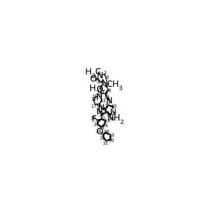 CN1CCN(C(C)(C)/C=C(/C#N)C(=O)N2CCC[C@@H](n3nc(-c4ccc(Oc5ccccc5)cc4F)c4c(N)nccc43)C2)CC1=O